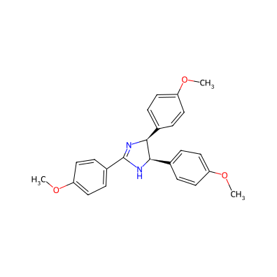 COc1ccc(C2=N[C@@H](c3ccc(OC)cc3)[C@@H](c3ccc(OC)cc3)N2)cc1